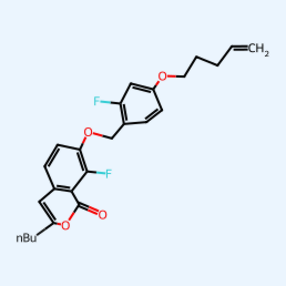 C=CCCCOc1ccc(COc2ccc3cc(CCCC)oc(=O)c3c2F)c(F)c1